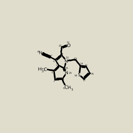 Cc1cc(C)c2c(C#N)c(C=O)n(Cc3cccs3)c2n1